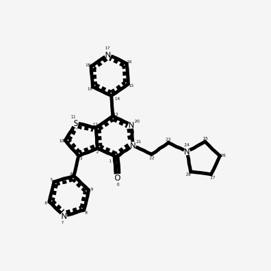 O=c1c2c(-c3ccncc3)csc2c(-c2ccncc2)nn1CCN1CCCC1